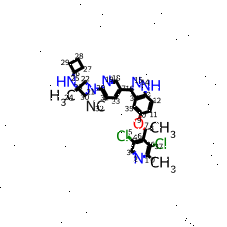 Cc1ncc(Cl)c([C@@H](C)Oc2ccc3[nH]nc(-c4cnc(N5CC(C)(NC6CCC6)C5)c(C#N)c4)c3c2)c1Cl